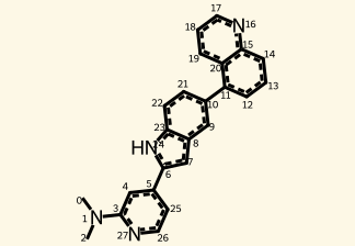 CN(C)c1cc(-c2cc3cc(-c4cccc5ncccc45)ccc3[nH]2)ccn1